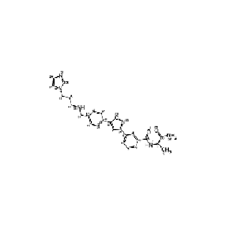 C[C@@H](NC(=O)c1cccc(-c2cc(-c3ccc(CNCCCn4ccnc4)cc3)on2)c1)C(N)=O